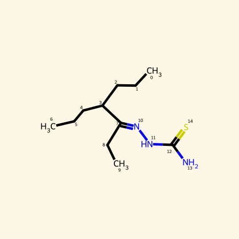 CCCC(CCC)C(CC)=NNC(N)=S